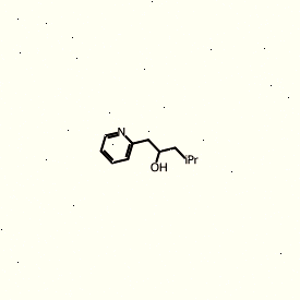 CC(C)CC(O)Cc1ccccn1